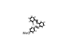 COc1ccc(N=Nc2ccccc2N=Nc2ccccc2C)cc1